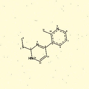 CSC1N=C(c2cccnc2C)C=CN1